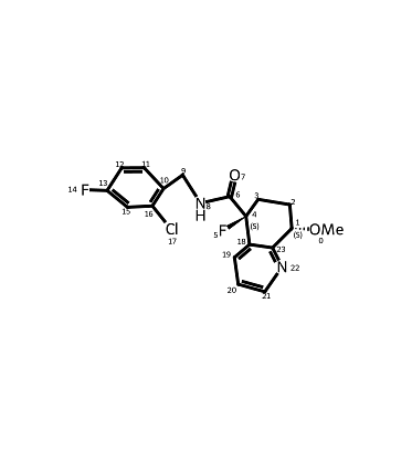 CO[C@H]1CC[C@@](F)(C(=O)NCc2ccc(F)cc2Cl)c2cccnc21